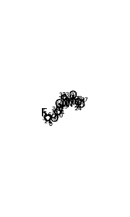 Cc1ccc(F)cc1OC1CCN(C(=O)Cn2nc(C(=O)N3CC(C)OC(C)C3)c3c2CCC3)CC1